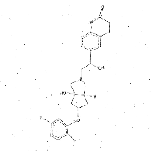 O=C1CCc2cc([C@H](O)CN3C[C@H]4C[C@H](Oc5cc(F)ccc5F)C[C@@]4(O)C3)ccc2N1